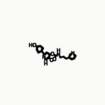 O=C(NCCCc1cccnc1)Oc1cc(-c2ccc(O)cc2)n[nH]c1=O